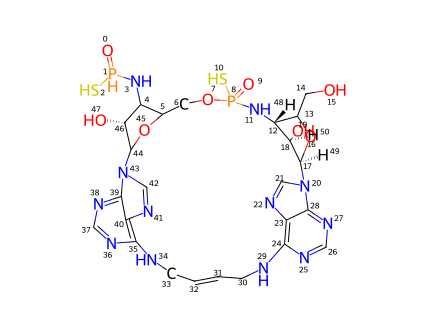 O=[PH](S)NC1C2COP(=O)(S)N[C@@H]3C(CO)O[C@H]([C@@H]3O)n3cnc4c(ncnc43)NC/C=C/CNc3ncnc4c3ncn4C(O2)[C@@H]1O